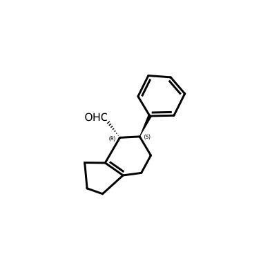 O=C[C@H]1C2=C(CCC2)CC[C@@H]1c1ccccc1